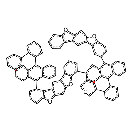 c1ccc(-c2ccccc2-c2c3ccccc3c(-c3ccc4oc5cc6oc7ccccc7c6cc5c4c3)c3cc(-c4cccc5c4oc4cc6oc7cccc(-c8c9ccccc9c(-c9ccccc9-c9ccccc9)c9ccccc89)c7c6cc45)ccc23)cc1